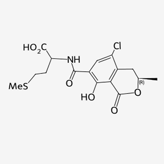 CSCCC(NC(=O)c1cc(Cl)c2c(c1O)C(=O)O[C@H](C)C2)C(=O)O